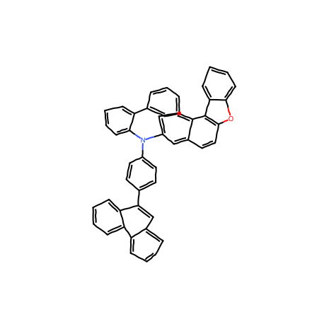 c1ccc(-c2ccccc2N(c2ccc(-c3cc4ccccc4c4ccccc34)cc2)c2ccc3c(ccc4oc5ccccc5c43)c2)cc1